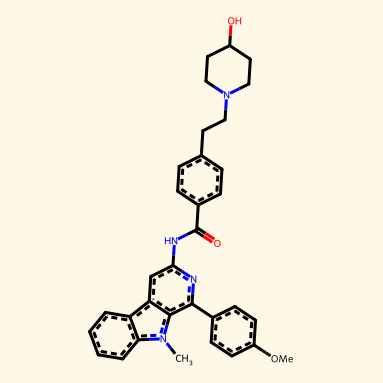 COc1ccc(-c2nc(NC(=O)c3ccc(CCN4CCC(O)CC4)cc3)cc3c4ccccc4n(C)c23)cc1